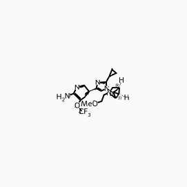 COCCN1C[C@H]2[C@H]3C1[C@@]32n1cc(-c2cnc(N)c(OC(F)(F)F)c2)nc1C1CC1